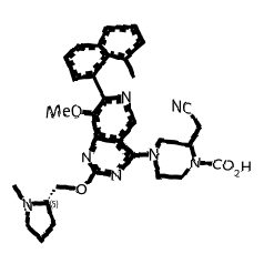 COc1c(-c2cccc3cccc(C)c23)ncc2c(N3CCN(C(=O)O)C(CC#N)C3)nc(OC[C@@H]3CCCN3C)nc12